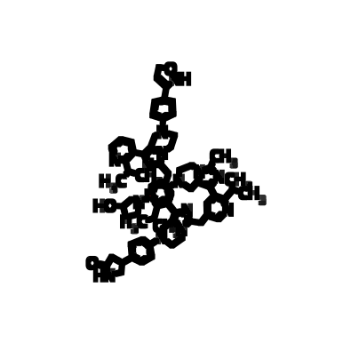 Cc1nc(-c2cc(Cc3nc(-c4cc(Cc5nc(-c6cccnc6C(C)C)c6n5CCN(c5ccc(C7=CCON7)cc5)C6)cnc4C(C)C)c4n3CCN(c3ccc(C5CNC(=O)C5)cc3)C4)cnc2C(C)C)c2n1CCN(c1ccc(N3CCC(O)C3)cc1)C2